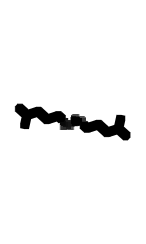 CC(C)CCC[Se][Se]CCCC(C)C